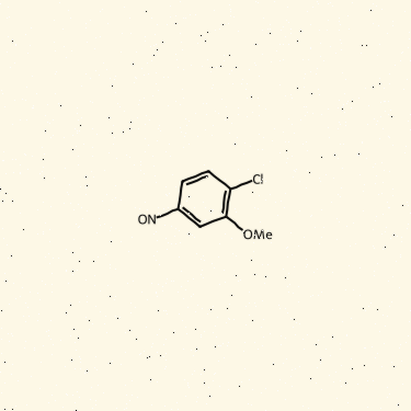 COc1cc(N=O)ccc1Cl